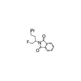 CC(C)CCC(CF)N1C(=O)c2ccccc2C1=O